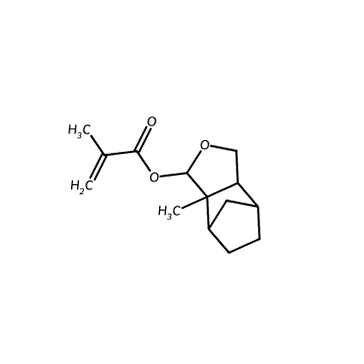 C=C(C)C(=O)OC1OCC2C3CCC(C3)C12C